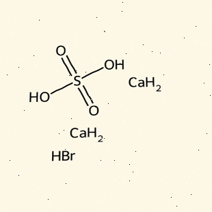 Br.O=S(=O)(O)O.[CaH2].[CaH2]